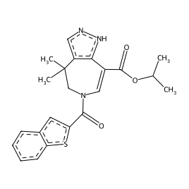 CC(C)OC(=O)C1=CN(C(=O)c2cc3ccccc3s2)CC(C)(C)c2cn[nH]c21